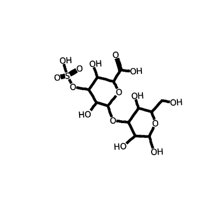 O=C(O)C1OC(OC2C(O)C(O)OC(CO)C2O)C(O)C(OS(=O)(=O)O)C1O